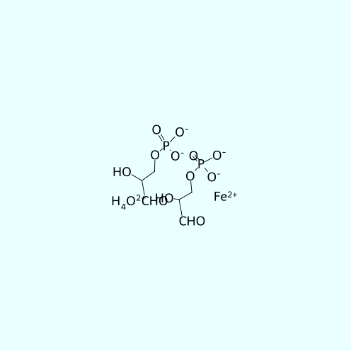 O=CC(O)COP(=O)([O-])[O-].O=CC(O)COP(=O)([O-])[O-].[Fe+2].[OH4+2]